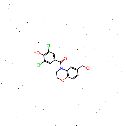 O=C(c1cc(Cl)c(O)c(Cl)c1)N1CCOc2ccc(CO)cc21